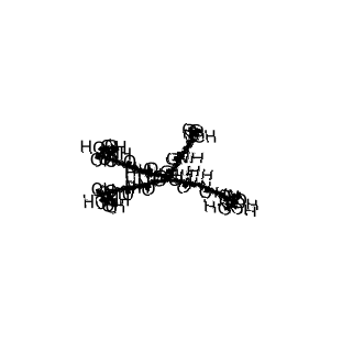 COP(=O)(O)OCCCCCCNC(=O)CCCC(=O)NC(COCCC(=O)NCCCNC(=O)CCCCOC1OC(CO)C(O)C(O)C1NC(C)=O)(COCCC(=O)NCCCNC(=O)CCCCOC1OC(CO)C(O)C(O)C1NC(C)=O)COCCC(=O)NCCCNC(=O)CCCCOC1OC(CO)C(O)C(O)C1NC(C)=O